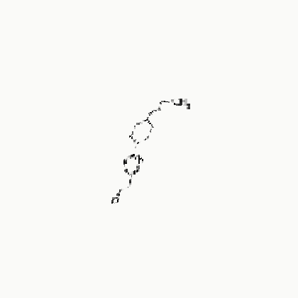 CCCC[C@H]1CC[C@H](c2ccc(CC=O)cn2)CC1